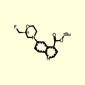 CC(C)(C)OC(=O)c1ccnc2ccc(N3CCO[C@H](CF)C3)cc12